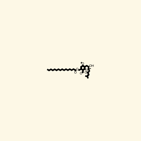 CCCCCCCCCCCCCCCC(=O)OCc1cc(OC)c2c(c1C=O)O[C@@](C)(CC(=O)C=C(C)C)[C@@H](O)C2